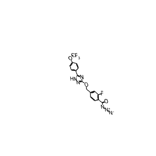 [N-]=[N+]=NC(=O)c1ccc(COc2n[nH]c(-c3ccc(OC(F)(F)F)cc3)n2)cc1F